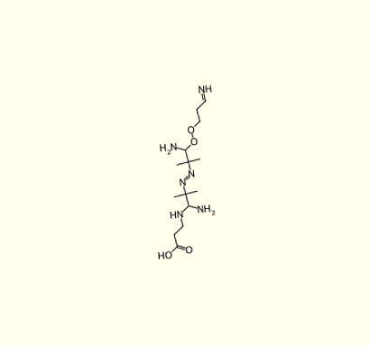 CC(C)(N=NC(C)(C)C(N)OOCCC=N)C(N)NCCC(=O)O